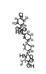 CCC(NC(=O)c1ccc(-c2cccc(NS(=O)(=O)c3cc(C)c(Cl)cc3C)c2)cc1)C(=O)O